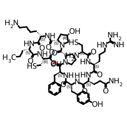 CCC[C@H](NC(=O)[C@H](CCCCN)NC(=O)[C@@H]1C[C@@H](O)CN1C(=O)[C@@H]1CCCN1C(=O)[C@H](Cc1ccccc1)NC(=O)[C@H](Cc1ccc(O)cc1)NC(=O)[C@H](CCC(N)=O)NC(=O)[C@H](CCCNC(=N)N)NC(=O)[C@@H](N)CS)C(=O)N[C@@H](CS)C(=O)O